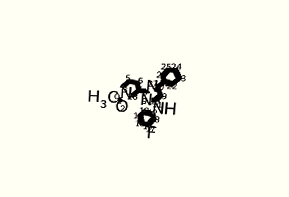 CC(=O)N1CCCC(c2nc(Nc3cccc(F)c3)cc(-c3ccccc3)n2)C1